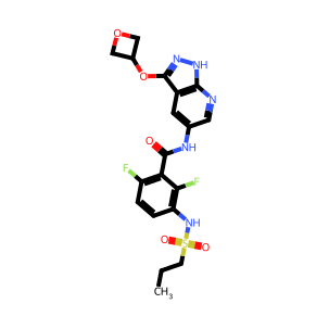 CCCS(=O)(=O)Nc1ccc(F)c(C(=O)Nc2cnc3[nH]nc(OC4COC4)c3c2)c1F